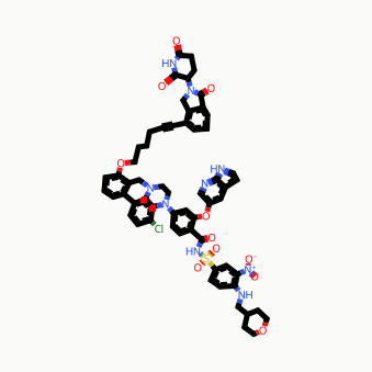 O=C1CCC(N2Cc3c(C#CCCCCOc4cccc(-c5ccc(Cl)cc5)c4CN4CCN(c5ccc(C(=O)NS(=O)(=O)c6ccc(NCC7CCOCC7)c([N+](=O)[O-])c6)c(Oc6cnc7[nH]ccc7c6)c5)CC4)cccc3C2=O)C(=O)N1